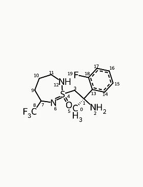 C[C@](N)(CS1(=O)=NC(C(F)(F)F)CCCN1)c1ccccc1F